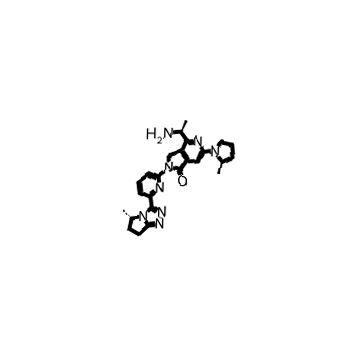 C[C@H](N)c1nc(N2CCC[C@H]2C)cc2c1CN(c1cccc(-c3nnc4n3[C@@H](C)CC4)n1)C2=O